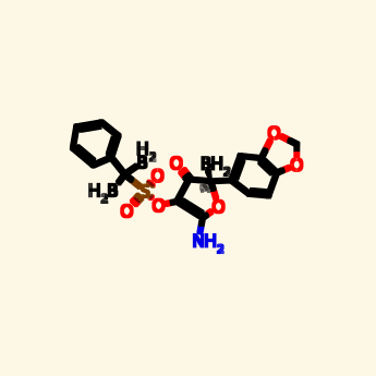 BC(B)(c1ccccc1)S(=O)(=O)OC1=C(N)O[C@@](B)(c2ccc3c(c2)OCO3)C1=O